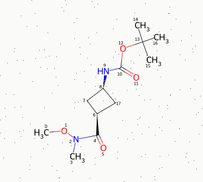 CON(C)C(=O)[C@H]1C[C@@H](NC(=O)OC(C)(C)C)C1